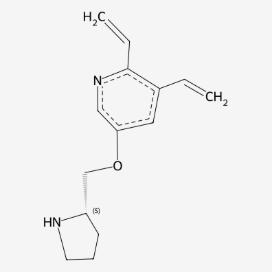 C=Cc1cc(OC[C@@H]2CCCN2)cnc1C=C